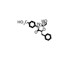 O=C(O)c1ccc(NC(=O)[C@H](Cc2ccccc2)O[PH](=O)CO)cc1